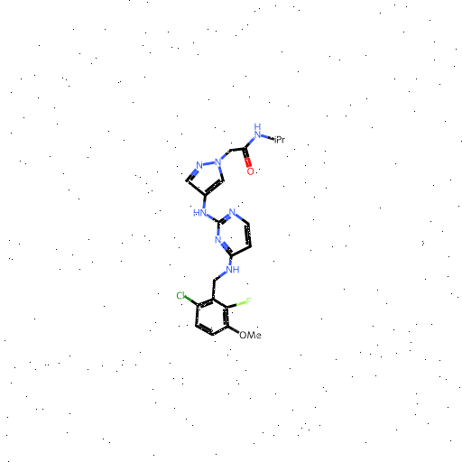 COc1ccc(Cl)c(CNc2ccnc(Nc3cnn(CC(=O)NC(C)C)c3)n2)c1F